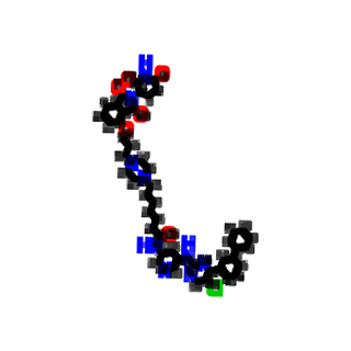 O=C1CCC(N2C(=O)c3cccc(OCCCN4CCN(CCCCCCC(=O)Nc5cncc(Nc6ncc(Cl)c(-c7cccc(-c8ccccc8)c7)n6)c5)CC4)c3C2=O)C(=O)N1